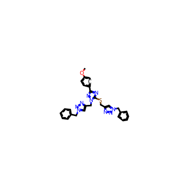 COc1ccc(-c2nc(SCc3cn(Cc4ccccc4)nn3)n(Cc3cn(Cc4ccccc4)nn3)n2)cc1